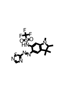 CC1N(C)c2cc(NS(=O)(=O)C(F)(F)F)c(N=Nc3ncns3)cc2C1(C)C